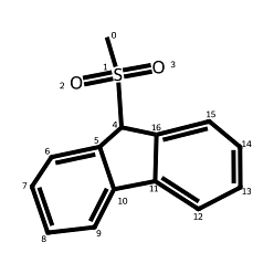 CS(=O)(=O)C1c2ccccc2-c2ccccc21